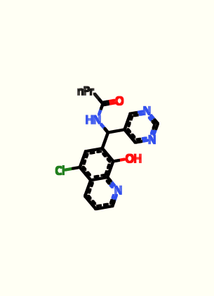 CCCC(=O)NC(c1cncnc1)c1cc(Cl)c2cccnc2c1O